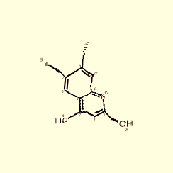 Oc1cc(O)c2cc(I)c(F)cc2n1